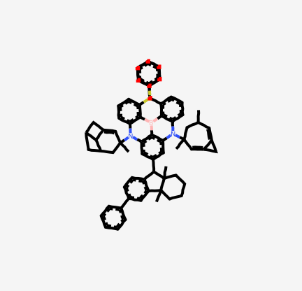 CC1C=C2CC2=CC(C)(N2c3cccc(Cc4ccccc4)c3B3c4c(Sc5ccccc5)cccc4N(C4(C)C=C5CC6CC(C4)C56)c4cc(C5c6ccc(-c7ccccc7)cc6C6(C)CCCCC56C)cc2c43)C1